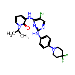 CC(C)n1cccc(Nc2nc(Nc3ccc(N4CCC(F)(F)CC4)cc3)ncc2Br)c1=O